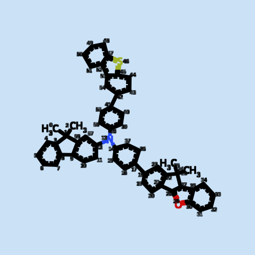 CC1(C)c2ccccc2-c2ccc(N(c3ccc(-c4ccc5c(c4)C(C)(C)c4c-5oc5ccccc45)cc3)c3ccc(-c4ccc5sc6ccccc6c5c4)cc3)cc21